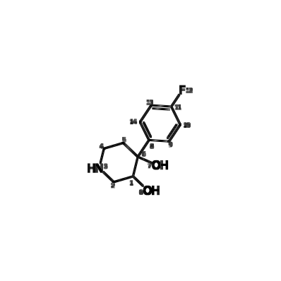 OC1CNCCC1(O)c1ccc(F)cc1